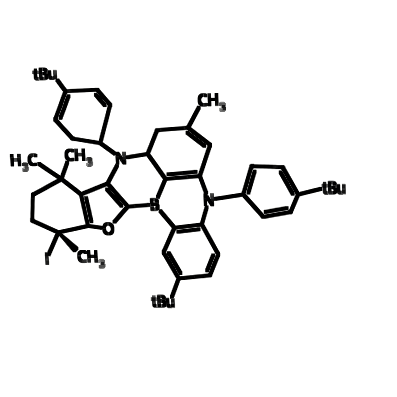 CC1=CC2=C3B(c4cc(C(C)(C)C)ccc4N2c2ccc(C(C)(C)C)cc2)c2oc4c(c2N(C2C=CC(C(C)(C)C)=CC2)C3C1)C(C)(C)CC[C@@]4(C)I